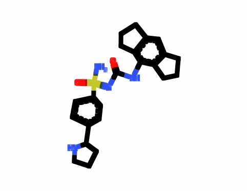 NS(=O)(=NC(=O)Nc1c2c(cc3c1CCC3)CCC2)c1ccc(C2CCCN2)cc1